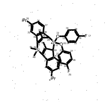 CC1=C2c3cc(C(C)C)ccc3[CH]1[Zr]([O]c1ccc(F)cc1)([O]c1ccc(F)cc1)[CH]1C(C)=C(c3cc(C(C)C)ccc31)[Si]2(C)C